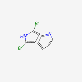 Brc1ccc(Br)[nH]1.c1ccncc1